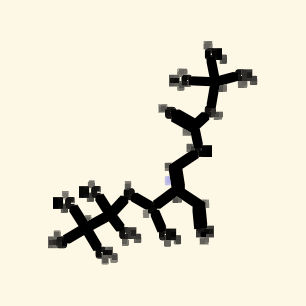 CB(OC(C)(C)C(C)(C)O)/C(C=N)=C/NC(=O)OC(C)(C)C